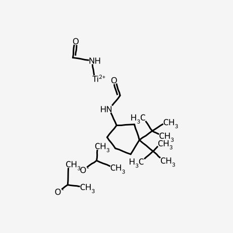 CC(C)(C)C1(C(C)(C)C)CCCC(NC=O)C1.CC(C)[O-].CC(C)[O-].O=C[NH][Ti+2]